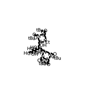 CCN1CCN(CC(=O)OC(C)(C)C)CCN(CC(=O)OC(C)(C)C)CCN(CC(O)CN(CC(O)CN2CCN(CC(=O)OC(C)(C)C)CCN(CC(=O)OC(C)(C)C)CCN(CC(=O)OC(C)(C)C)CC2)CC(O)C(O)C(O)C(O)CO)CC1